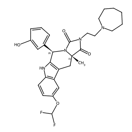 C[C@@]12Cc3c([nH]c4ccc(OC(F)F)cc34)[C@@H](c3cccc(O)c3)N1C(=O)N(CCN1CCCCCC1)C2=O